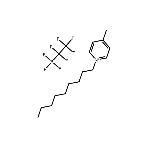 CCCCCCCCC[n+]1ccc(C)cc1.F[B-](F)(F)C(F)(F)C(F)(F)F